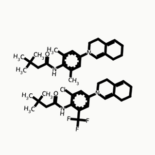 CC(C)(C)CC(=O)Nc1c(Cl)cc(N2C=C3CCCC=C3CC2)cc1C(F)(F)F.Cc1cc(N2C=C3CCCC=C3CC2)cc(C)c1NC(=O)CC(C)(C)C